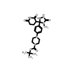 CN1C(=O)NNC1(c1ccc(N2CCN(C(=O)OC(C)(C)C)CC2)cc1)C1CCC(=O)NC1=O